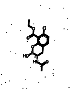 CCOC(=O)c1c(Cl)ccc2c1OB(O)[C@@H](NC(C)=O)C2